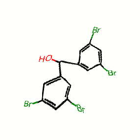 OC(c1cc(Br)cc(Br)c1)c1cc(Br)cc(Br)c1